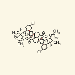 CC(=O)OC(C(C)(CF)CF)C(Oc1ccc(Cl)cc1)(OS(=O)(=O)c1cccc2c(S(=O)(=O)OC(Oc3ccc(Cl)cc3)(C(OC(C)=O)C(C)(CF)CF)n3ccnc3)cccc12)n1ccnc1